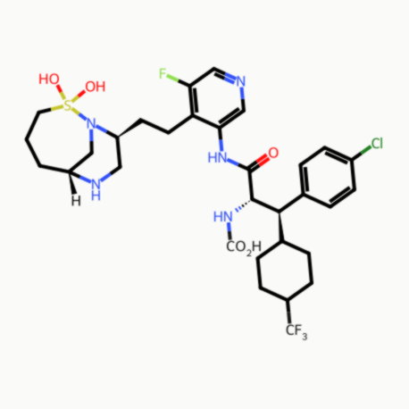 O=C(O)N[C@H](C(=O)Nc1cncc(F)c1CC[C@H]1CN[C@@H]2CCCS(O)(O)N1C2)[C@@H](c1ccc(Cl)cc1)C1CCC(C(F)(F)F)CC1